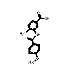 COc1ccc(C(=O)Nc2cc(C(=O)O)ccc2C)cc1